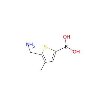 Cc1cc(B(O)O)sc1CN